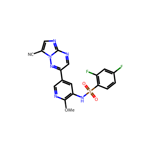 COc1ncc(-c2cnc3ncc(C#N)n3n2)cc1NS(=O)(=O)c1ccc(F)cc1F